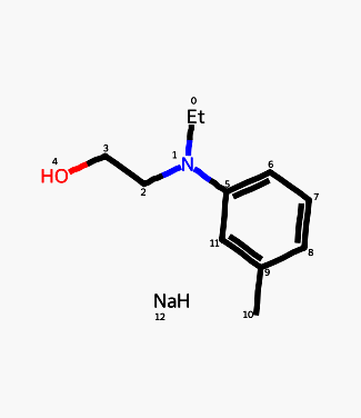 CCN(CCO)c1cccc(C)c1.[NaH]